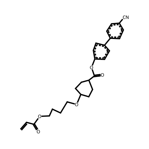 C=CC(=O)OCCCCOC1CCC(C(=O)Oc2ccc(-c3ccc(C#N)cc3)cc2)CC1